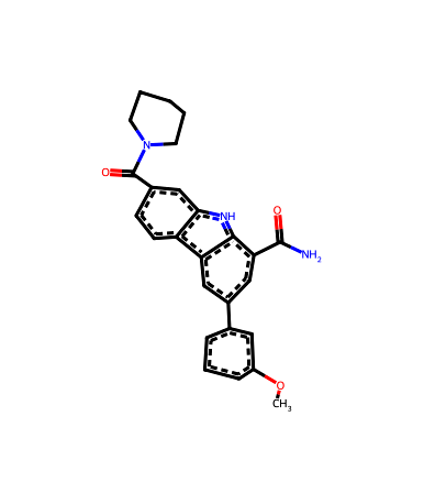 COc1cccc(-c2cc(C(N)=O)c3[nH]c4cc(C(=O)N5CCCCC5)ccc4c3c2)c1